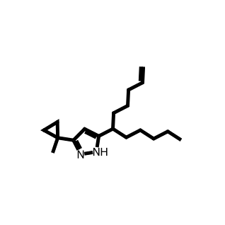 C=CCCCC(CCCCC)c1cc(C2(C)CC2)n[nH]1